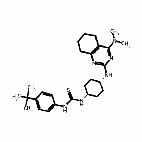 CN(C)c1nc(N[C@H]2CC[C@@H](NC(=S)Nc3ccc(C(C)(C)C)cc3)CC2)nc2c1CCCC2